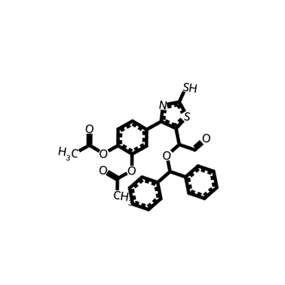 CC(=O)Oc1ccc(-c2nc(S)sc2C(C=O)OC(c2ccccc2)c2ccccc2)cc1OC(C)=O